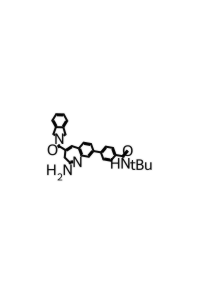 CC(C)(C)NC(=O)c1ccc(-c2ccc3c(c2)N=C(N)CC(C(=O)N2Cc4ccccc4C2)=C3)cc1